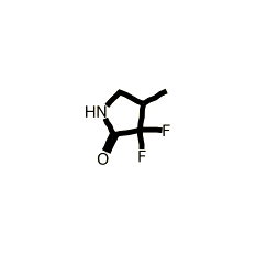 CC1CNC(=O)C1(F)F